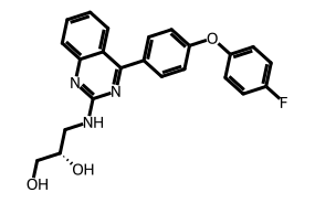 OC[C@@H](O)CNc1nc(-c2ccc(Oc3ccc(F)cc3)cc2)c2ccccc2n1